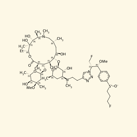 CC[C@H]1OC(=O)[C@H](C)[C@@H](O[C@H]2C[C@@](C)(OC)[C@@H](O)[C@H](C)O2)[C@H](C)[C@@H](O[C@@H]2O[C@H](C)C[C@H](N(C)CCc3cn([C@H](CF)[C@H](OC)c4ccc([S+]([O-])CCCF)cc4)nn3)[C@H]2O)[C@H](O)C[C@@H](C)CN(C)[C@H](C)[C@@H](O)[C@]1(C)O